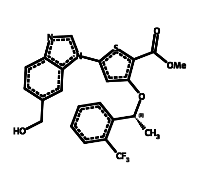 COC(=O)c1sc(-n2cnc3ccc(CO)cc32)cc1O[C@H](C)c1ccccc1C(F)(F)F